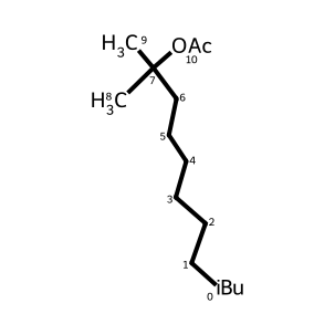 CCC(C)CCCCCCC(C)(C)OC(C)=O